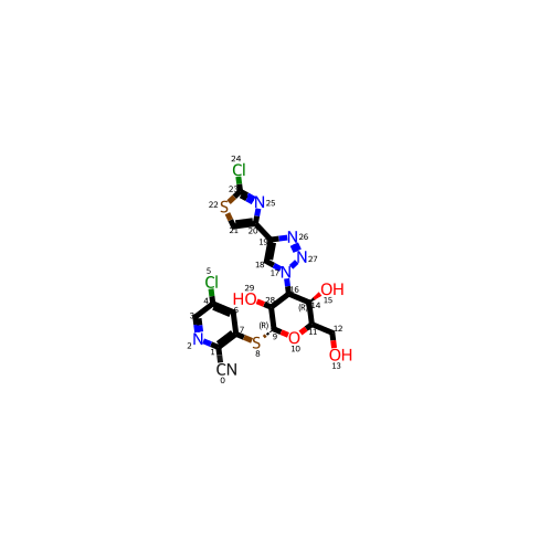 N#Cc1ncc(Cl)cc1S[C@H]1OC(CO)[C@H](O)C(n2cc(-c3csc(Cl)n3)nn2)C1O